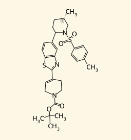 Cc1ccc(S(=O)(=O)N2C[C@@H](C)CCC2c2ccc3sc(C4=CCN(C(=O)OC(C)(C)C)CC4)nc3c2)cc1